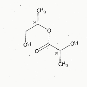 C[C@@H](CO)OC(=O)[C@@H](C)O